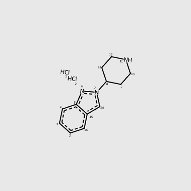 Cl.Cl.c1ccc2nn(C3CCNCC3)cc2c1